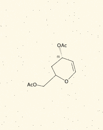 CC(=O)OCC1C[C@H](OC(C)=O)C=CO1